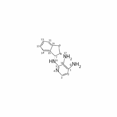 Nc1ccnc(N[C@H]2CCc3ccccc32)c1N